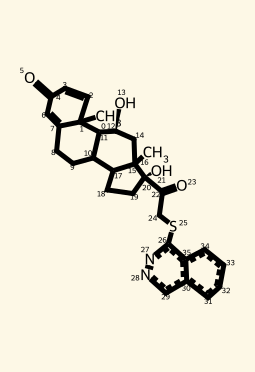 CC12C=CC(=O)C=C1CCC1C2[C@@H](O)CC2(C)C1CC[C@]2(O)C(=O)CSc1nncc2ccccc12